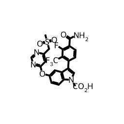 CS(=O)(=O)Cc1cc(Oc2ccc3c(c2)c(-c2ccc(C(N)=O)c(F)c2C(F)(F)F)cn3C(=O)O)ncn1